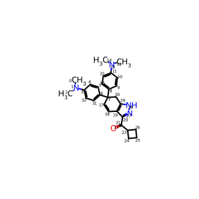 CN(C)c1ccc(C2(c3ccc(N(C)C)cc3)C=Cc3c(C(=O)C4CCC4)n[nH]c3C2)cc1